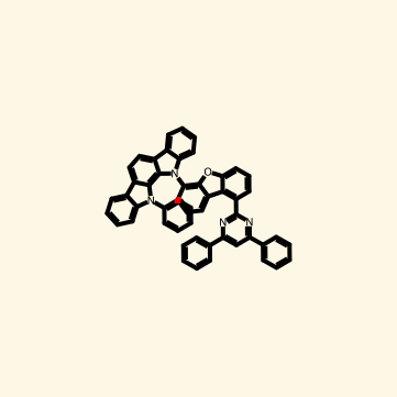 c1ccc(-c2cc(-c3ccccc3)nc(-c3cccc4oc5c(-n6c7ccccc7c7ccc8c9ccccc9n(-c9ccccc9)c8c76)cccc5c34)n2)cc1